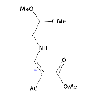 COC(=O)/C(=C\NCC(OC)OC)C(C)=O